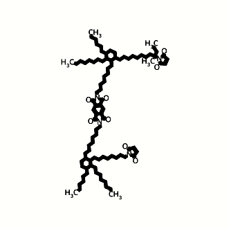 CCCCCCCCC1C(CCCCCC)CCC(CCCCCCCCn2c(=O)c3cc4c(=O)n(CCCCCCCCC5C(CCCCCCCCC(C)(CCC)N6C(=O)C=CC6=O)CCC(CCCCCC)C5CCCCCCCC)c(=O)c4cc3c2=O)C1CCCCCCCCN1C(=O)C=CC1=O